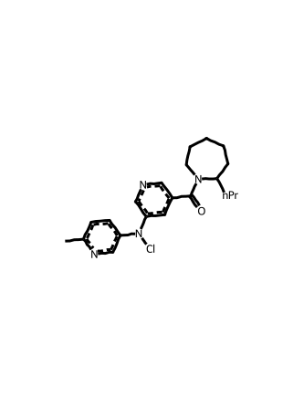 CCCC1CCCCCN1C(=O)c1cncc(N(Cl)c2ccc(C)nc2)c1